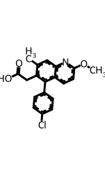 COc1ccc2c(-c3ccc(Cl)cc3)c(CC(=O)O)c(C)cc2n1